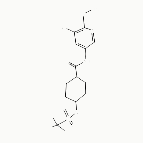 CCCCOc1ncc(NC(=O)C2CCC(NS(=O)(=O)C(C)(C)CC)CC2)cc1C#N